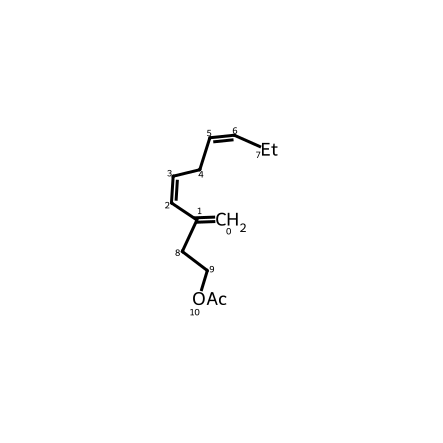 C=C(/C=C\C/C=C\CC)CCOC(C)=O